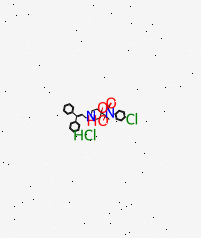 CC1(O)N(c2ccc(Cl)cc2)C(=O)OC12CCN(CC=C(c1ccccc1)c1ccccc1)CC2.Cl